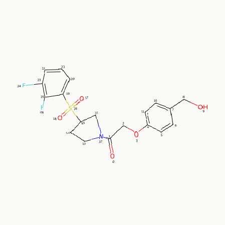 O=C(COc1ccc(CO)cc1)N1CCC(S(=O)(=O)c2cccc(F)c2F)C1